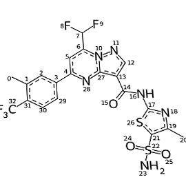 Cc1cc(-c2cc(C(F)F)n3ncc(C(=O)Nc4nc(C)c(S(N)(=O)=O)s4)c3n2)ccc1C(F)(F)F